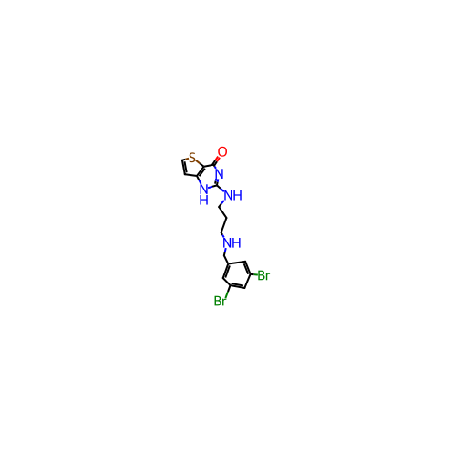 O=c1nc(NCCCNCc2cc(Br)cc(Br)c2)[nH]c2ccsc12